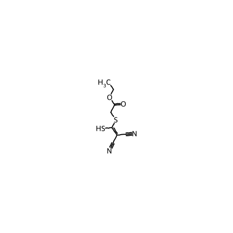 CCOC(=O)CSC(S)=C(C#N)C#N